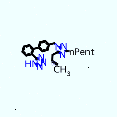 C/C=C/Cc1nc(CCCCC)nn1Cc1ccc(-c2ccccc2-c2nnn[nH]2)cc1